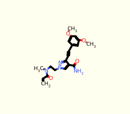 C=CC(=O)N(C)CCn1cc(C(N)=O)c(C#Cc2cc(OC)cc(OC)c2)n1